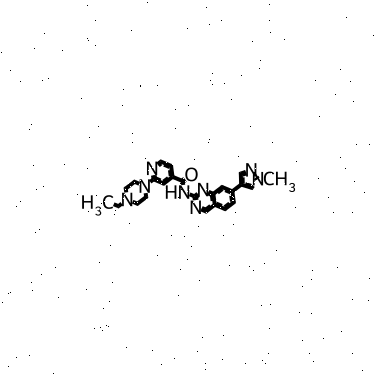 CCN1CCN(c2cc(C(=O)Nc3ncc4ccc(-c5cnn(C)c5)cc4n3)ccn2)CC1